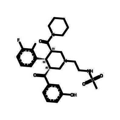 Cc1c(F)cccc1[C@H]1[C@@H](C(=O)c2cccc(O)c2)CN(CCNS(C)(=O)=O)C[C@@H]1C(=O)N1CCCCC1